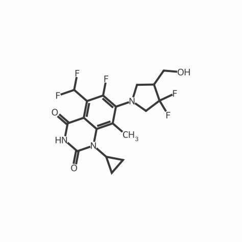 Cc1c(N2CC(CO)C(F)(F)C2)c(F)c(C(F)F)c2c(=O)[nH]c(=O)n(C3CC3)c12